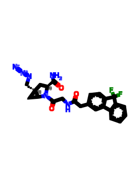 [N-]=[N+]=NC[C@@]12CC1N(C(=O)CNC(=O)Cc1ccc3c(c1)-c1ccccc1C3(F)F)[C@H](C(N)=O)C2